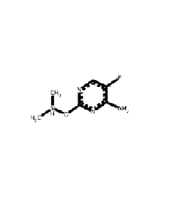 C[SiH](C)Oc1ncc(F)c(N)n1